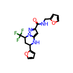 O=C(NCc1ccco1)c1cc2n(n1)C(C(F)(F)F)CC(c1ccco1)N2